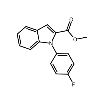 COC(=O)c1cc2ccccc2n1-c1ccc(F)cc1